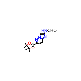 CC1(C)OB(c2ccc3nc(NC=O)cn3n2)OC1(C)C